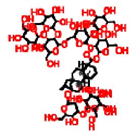 C=C1C[C@@]23CC[C@H]4[C@@](C)(CCC[C@@]4(C)C(=O)OC4OC(CO)C(O)C(OC5OC(CO)C(O)C(O)C5O)C4OC4OC(COC5OC(CO)C(O)C(OC6OC(CO)C(O)C(O)C6O)C5OC5OC(CO)C(O)C(O)C5O)C(O)C(O)C4O)[C@@H]2CCC1(OC1OC(CO)C(O)C(OC2OC(CO)C(O)C(O)C2O)C1OC1OC(CO)C(O)C(O)C1O)C3